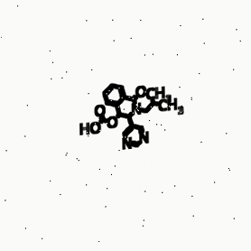 CC(C)CN1C(=O)c2ccccc2C(OC(=O)O)C1c1cncnc1